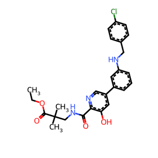 CCOC(=O)C(C)(C)CNC(=O)c1ncc(-c2cccc(NCc3ccc(Cl)cc3)c2)cc1O